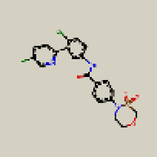 O=C(Nc1ccc(Cl)c(-c2ccc(Cl)cn2)c1)c1ccc(N2CCOCS2(=O)=O)cc1